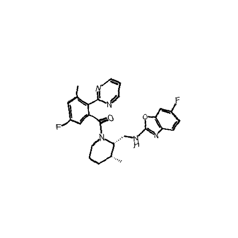 Cc1cc(F)cc(C(=O)N2CCC[C@@H](C)[C@H]2CNc2nc3ccc(F)cc3o2)c1-c1ncccn1